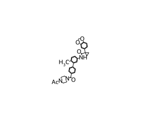 CC(=O)N1CCN(C(=O)c2ccc(-c3cc(NC(=O)C4(c5ccc6c(c5)OCO6)CC4)ccc3C)cc2)CC1